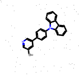 CC(C)(C)c1cncc(-c2ccc(-n3c4ccccc4c4ccccc43)cc2)c1